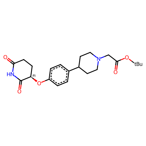 CC(C)(C)OC(=O)CN1CCC(c2ccc(O[C@@H]3CCC(=O)NC3=O)cc2)CC1